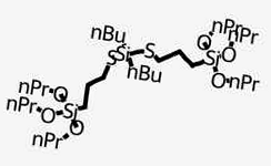 CCCC[Si](CCCC)(SCCC[Si](OCCC)(OCCC)OCCC)SCCC[Si](OCCC)(OCCC)OCCC